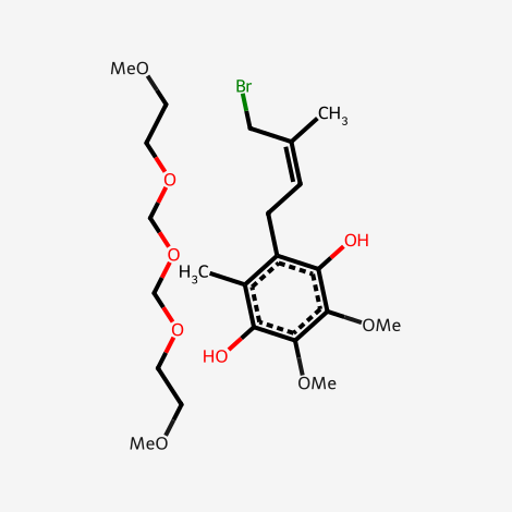 COCCOCOCOCCOC.COc1c(O)c(C)c(CC=C(C)CBr)c(O)c1OC